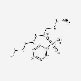 CCCCCCCCCCN.O=S(=O)(O)c1ccccc1